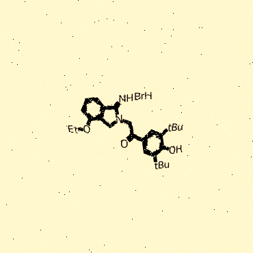 Br.CCOc1cccc2c1CN(CC(=O)c1cc(C(C)(C)C)c(O)c(C(C)(C)C)c1)C2=N